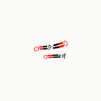 [O]=[Hf].[O]=[Zr]=[O]